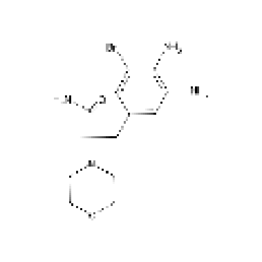 CC(Cc1cc(N)c(N)c(Br)c1)(C(N)=O)N1CCOCC1